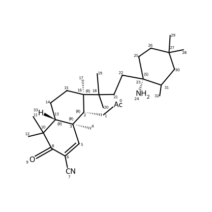 CC(=O)C[C@@H]1[C@@]2(C)C=C(C#N)C(=O)C(C)(C)[C@@H]2CC[C@@]1(C)C(C)(C)CC[C@@]1(N)CCC(C)(C)CC1C